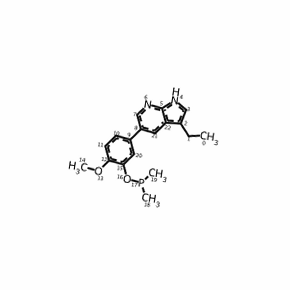 CCc1c[nH]c2ncc(-c3ccc(OC)c(OP(C)C)c3)cc12